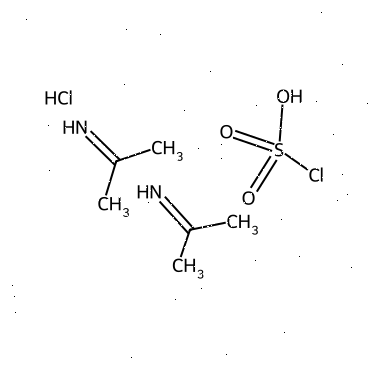 CC(C)=N.CC(C)=N.Cl.O=S(=O)(O)Cl